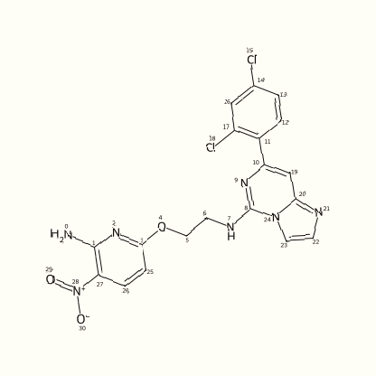 Nc1nc(OCCNc2nc(-c3ccc(Cl)cc3Cl)cc3nccn23)ccc1[N+](=O)[O-]